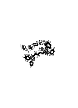 CCCCCCCCCCCCOS(=O)(=O)O.CCCCCCCCCCCCOS(=O)(=O)O.c1ccc(N2N=C(CCCCC3=NN(c4ccccc4)N(c4ccccc4)N3)NN2c2ccccc2)cc1